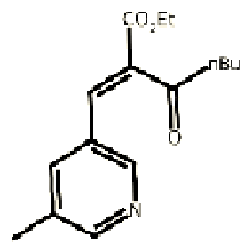 CCCCC(=O)C(=Cc1cncc(C)c1)C(=O)OCC